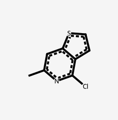 Cc1cc2sccc2c(Cl)n1